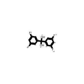 OC(O)(c1cc(F)cc(F)c1)c1cc(F)cc(F)c1